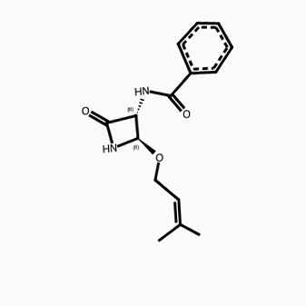 CC(C)=CCO[C@H]1NC(=O)[C@@H]1NC(=O)c1ccccc1